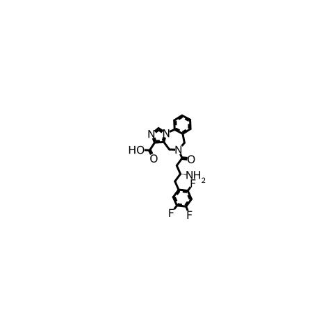 N[C@@H](CC(=O)N1Cc2ccccc2-n2cnc(C(=O)O)c2C1)Cc1cc(F)c(F)cc1F